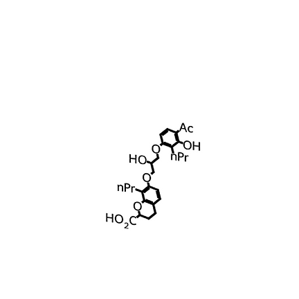 CCCc1c(OCC(O)COc2ccc3c(c2CCC)OC(C(=O)O)CC3)ccc(C(C)=O)c1O